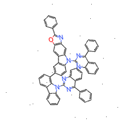 c1ccc(-c2nc3cc4c(cc3o2)c2cc(-c3cccc5c6ccccc6n(-c6nc(-c7ccccc7)c7ccccc7n6)c35)ccc2n4-c2nc(-c3ccccc3)c3ccccc3n2)cc1